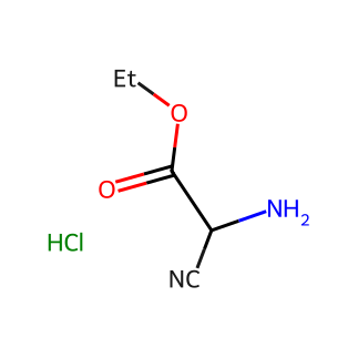 CCOC(=O)C(N)C#N.Cl